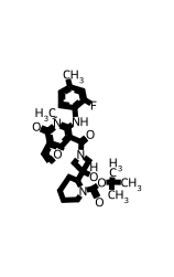 Cc1ccc(Nc2c(C(=O)N3CC(O)(C4CCCCN4C(=O)OC(C)(C)C)C3)c3occc3c(=O)n2C)c(F)c1